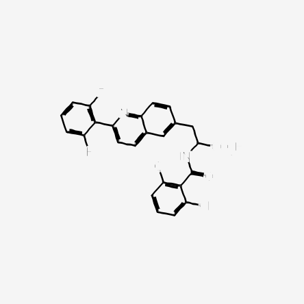 O=C(NC(Cc1ccc2nc(-c3c(F)cccc3F)ccc2c1)C(=O)O)c1c(Cl)cccc1Cl